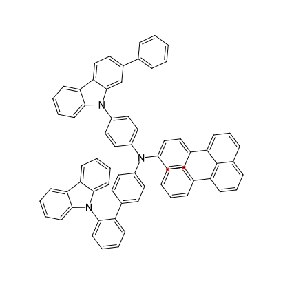 c1ccc(-c2ccc3c4ccccc4n(-c4ccc(N(c5ccc(-c6ccccc6-n6c7ccccc7c7ccccc76)cc5)c5ccc(-c6cccc7cccc(-c8ccccc8)c67)cc5)cc4)c3c2)cc1